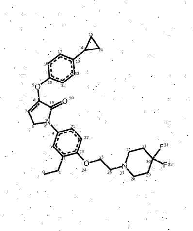 CCc1cc(N2CC=C(Oc3ccc(C4CC4)cc3)C2=O)ccc1OCCN1CCC(F)(F)CC1